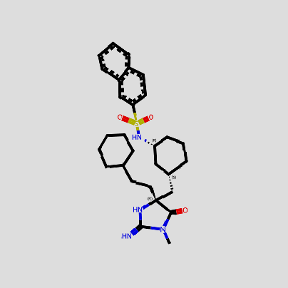 CN1C(=N)N[C@](CCC2CCCCC2)(C[C@H]2CCC[C@@H](NS(=O)(=O)c3ccc4ccccc4c3)C2)C1=O